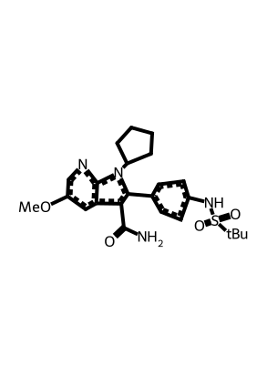 COc1cnc2c(c1)c(C(N)=O)c(-c1ccc(NS(=O)(=O)C(C)(C)C)cc1)n2C1CCCC1